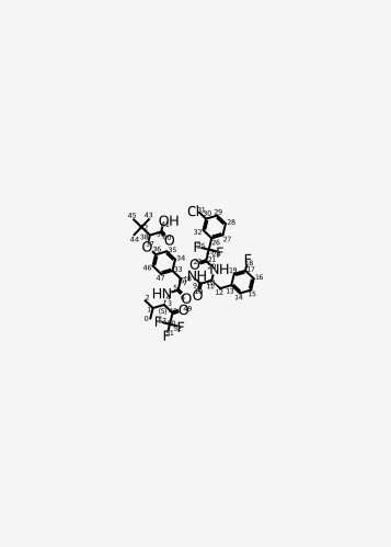 CC(C)[C@H](NC(=O)[C@@H](NC(=O)[C@H](Cc1cccc(F)c1)NC(=O)C(F)(F)c1cccc(Cl)c1)c1ccc(OC(C(=O)O)C(C)(C)C)cc1)C(=O)C(F)(F)F